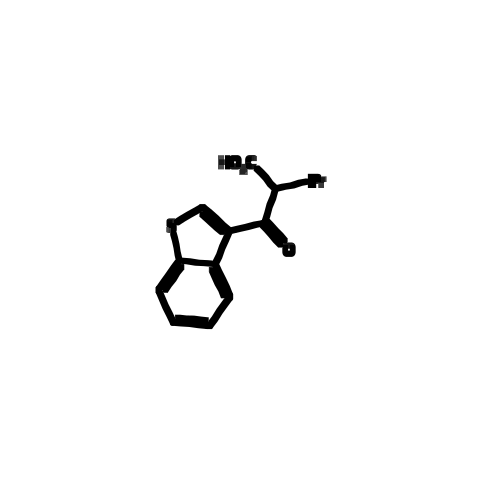 CC(C)C(C(=O)O)C(=O)c1csc2ccccc12